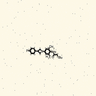 Cc1cc(N2CC(c3ccc(F)cc3)C2)cc(C)c1NC(=O)CC(C)(C)C